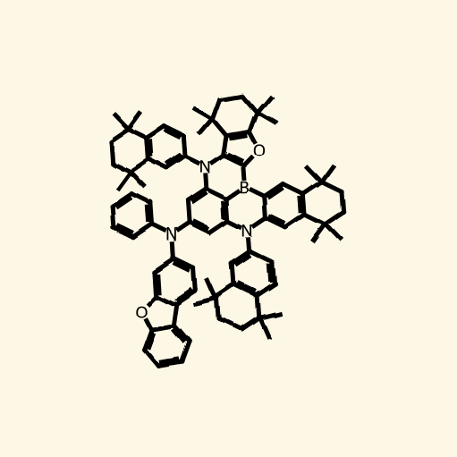 CC1(C)CCC(C)(C)c2cc(N3c4cc5c(cc4B4c6oc7c(c6N(c6ccc8c(c6)C(C)(C)CCC8(C)C)c6cc(N(c8ccccc8)c8ccc9c(c8)oc8ccccc89)cc3c64)C(C)(C)CCC7(C)C)C(C)(C)CCC5(C)C)ccc21